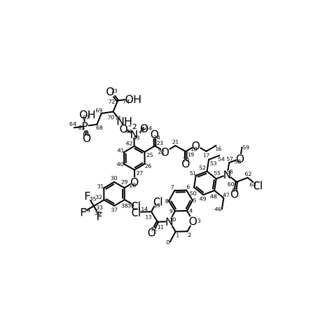 CC1COc2ccccc2N1C(=O)C(Cl)Cl.CCOC(=O)COC(=O)c1cc(Oc2ccc(C(F)(F)F)cc2Cl)ccc1[N+](=O)[O-].CCc1cccc(CC)c1N(COC)C(=O)CCl.CP(=O)(O)CCC(N)C(=O)O